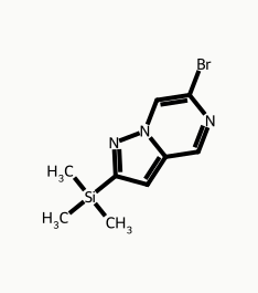 C[Si](C)(C)c1cc2cnc(Br)cn2n1